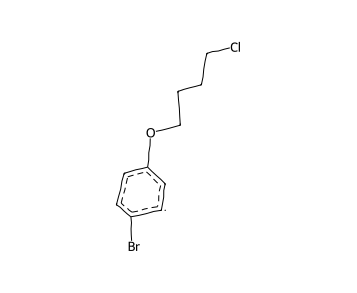 ClCCCCOc1c[c]c(Br)cc1